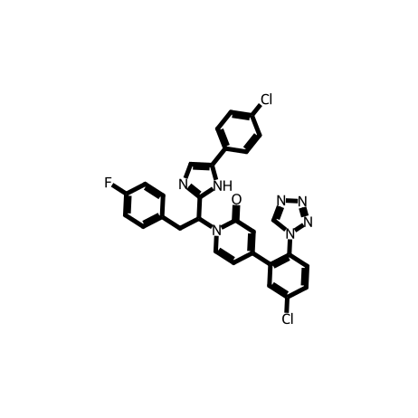 O=c1cc(-c2cc(Cl)ccc2-n2cnnn2)ccn1C(Cc1ccc(F)cc1)c1ncc(-c2ccc(Cl)cc2)[nH]1